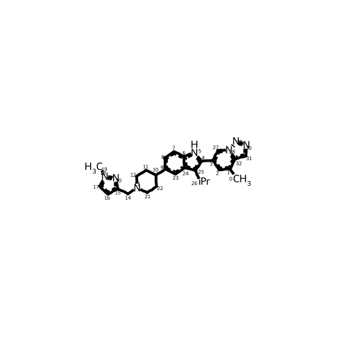 Cc1cc(-c2[nH]c3ccc(C4CCN(Cc5ccn(C)n5)CC4)cc3c2C(C)C)cn2nncc12